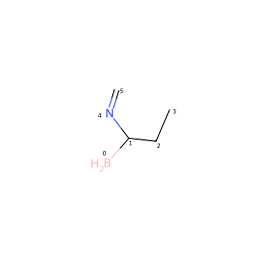 BC(CC)N=C